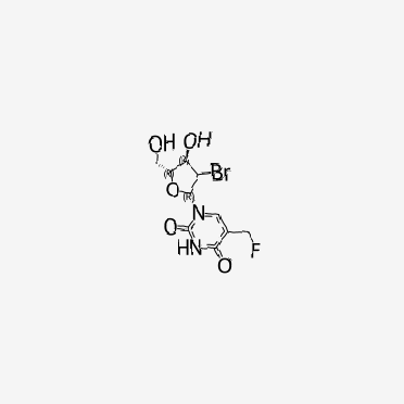 O=c1[nH]c(=O)n([C@@H]2O[C@H](CO)[C@@H](O)C2Br)cc1CF